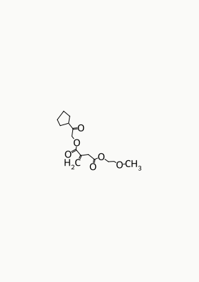 C=C(CC(=O)OCCOC)C(=O)OCC(=O)C1CCCC1